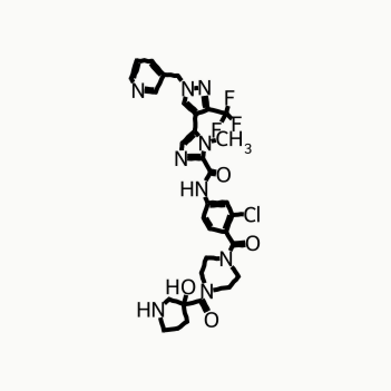 Cn1c(-c2cn(Cc3cccnc3)nc2C(F)(F)F)cnc1C(=O)Nc1ccc(C(=O)N2CCN(C(=O)C3(O)CCCNC3)CC2)c(Cl)c1